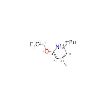 Cc1cc(OCC(F)(F)F)nc(C(C)(C)C)c1